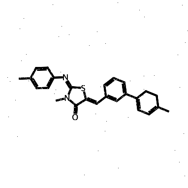 CC1=CC=C(c2cccc(/C=C3\S/C(=N/c4ccc(C)cc4)N(C)C3=O)c2)CC1